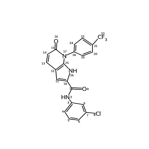 O=C(Nc1cccc(Cl)c1)c1cc2ccc(=O)n(-c3ccc(C(F)(F)F)cc3)c2[nH]1